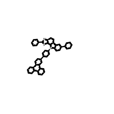 c1ccc(-c2ccc3c(c2)c2ccc4nc(-c5ccccc5)sc4c2n3-c2ccc(-c3ccc4c5ccccc5c5ccccc5c4c3)cc2)cc1